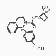 Cl.N[C@@H]1CC[C@H]1OC(=O)N1CCc2ccccc2[C@@H]1c1ccc(F)cc1